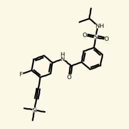 CC(C)NS(=O)(=O)c1cccc(C(=O)Nc2ccc(F)c(C#C[Si](C)(C)C)c2)c1